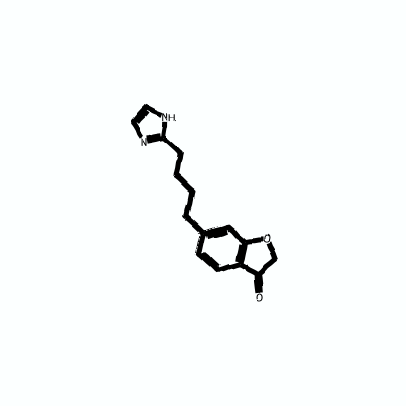 O=C1COc2cc(CCCCc3ncc[nH]3)ccc21